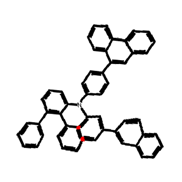 c1ccc(-c2cccc(N(c3ccc(-c4cc5ccccc5c5ccccc45)cc3)c3cccc(-c4ccc5ccccc5c4)c3)c2-c2ccccc2)cc1